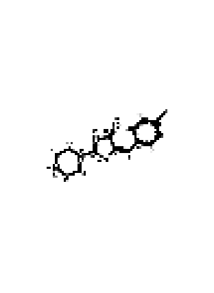 Cc1ccc(C=C2SC(N3CCNCC3)=NC2=O)cc1